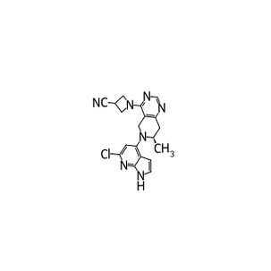 C[C@@H]1Cc2ncnc(N3CC(C#N)C3)c2CN1c1cc(Cl)nc2[nH]ccc12